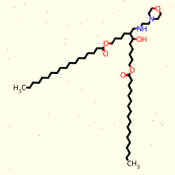 CCCCCCCCCCCCCCCCCC(=O)OCCCCCC(O)C(CCCCOC(=O)CCCCCCCCCCCCCCCCC)CNCCN1CCOCC1